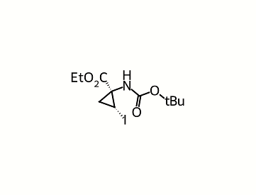 CCOC(=O)[C@@]1(NC(=O)OC(C)(C)C)C[C@H]1I